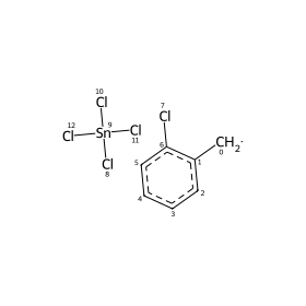 [CH2]c1ccccc1Cl.[Cl][Sn]([Cl])([Cl])[Cl]